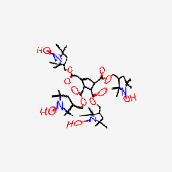 CC1(C)CC(COC(=O)C2CC(C(=O)OCC3CC(C)(C)N(O)C3(C)C)C(C(=O)OCC3CC(C)(C)N(O)C3(C)C)C2C(=O)OCC2CC(C)(C)N(O)C2(C)C)C(C)(C)N1O